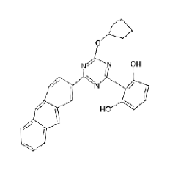 Oc1cccc(O)c1-c1nc(OC2CCCC2)nc(-c2ccc3cc4ccccc4cc3c2)n1